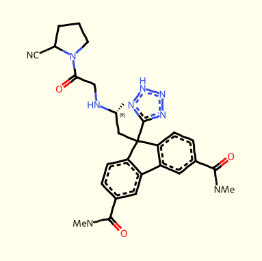 CNC(=O)c1ccc2c(c1)-c1cc(C(=O)NC)ccc1C2(C[C@@H](C)NCC(=O)N1CCCC1C#N)c1nn[nH]n1